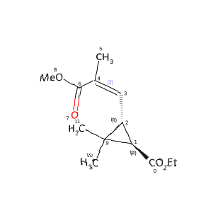 CCOC(=O)[C@@H]1[C@@H](/C=C(/C)C(=O)OC)C1(C)C